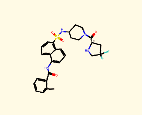 Cc1ccccc1C(=O)Nc1cccc2c(S(=O)(=O)NC3CCN(C(=O)[C@@H]4CC(F)(F)CN4)CC3)cccc12